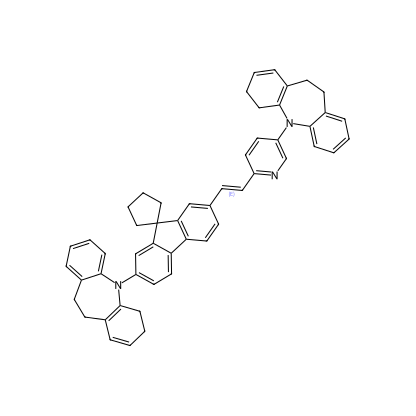 C1=CC2=C(CC1)N(c1ccc(/C=C/c3ccc4c(c3)C3(CCCC3)c3cc(N5C6=C(C=CCC6)CCc6ccccc65)ccc3-4)nc1)c1ccccc1CC2